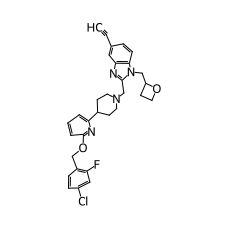 C#Cc1ccc2c(c1)nc(CN1CCC(c3cccc(OCc4ccc(Cl)cc4F)n3)CC1)n2CC1CCO1